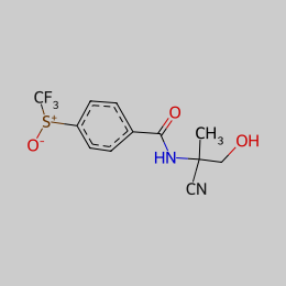 CC(C#N)(CO)NC(=O)c1ccc([S+]([O-])C(F)(F)F)cc1